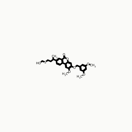 COc1cc(COc2cc3oc(=O)c4cc(C(C)CCSCO)ccc4c3cc2OC)cc(OC)c1